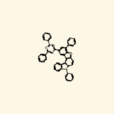 C1=CC2C(c3ccccc3N2c2ccccc2)c2c1oc1c(-c3ccccc3)cc(-c3nc(-c4ccccc4)nc(-c4ccccc4)n3)cc21